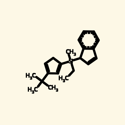 CC[Si](C)(C1=CC(C(C)(C)C)=CC1)C1C=Cc2ccccc21